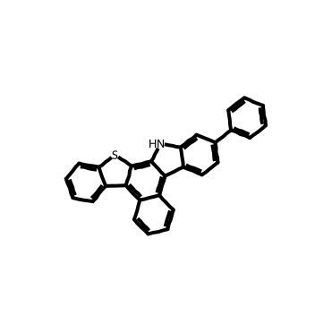 c1ccc(-c2ccc3c(c2)[nH]c2c4sc5ccccc5c4c4ccccc4c32)cc1